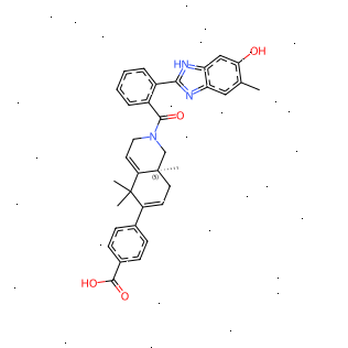 Cc1cc2nc(-c3ccccc3C(=O)N3CC=C4C(C)(C)C(c5ccc(C(=O)O)cc5)=CC[C@]4(C)C3)[nH]c2cc1O